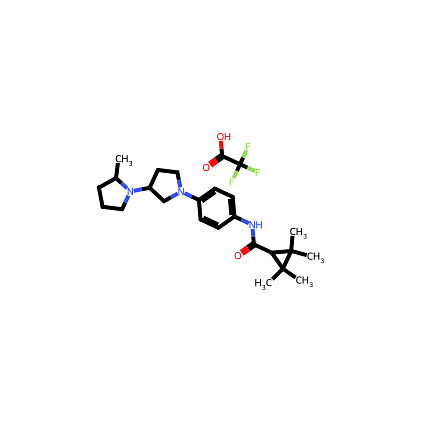 CC1CCCN1C1CCN(c2ccc(NC(=O)C3C(C)(C)C3(C)C)cc2)C1.O=C(O)C(F)(F)F